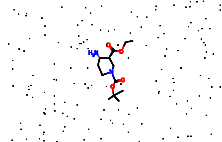 CCOC(=O)[C@H]1CN(C(=O)OC(C)(C)C)CC[C@@H]1N